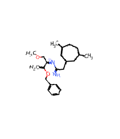 C=C(OCc1ccccc1)/C(COC)=N\C(=N)CC1CC(C)CCC(C)C1